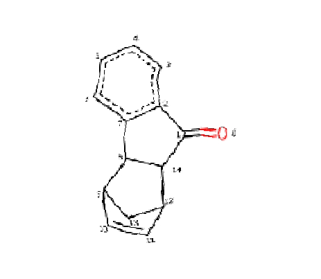 O=C1c2ccccc2C2C3C=CC(C3)C12